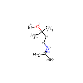 CCOC(C)(C)CC/N=C(\C)C(C)C